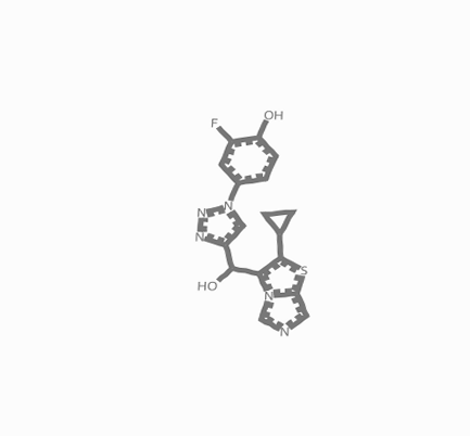 Oc1ccc(-n2cc(C(O)c3c(C4CC4)sc4cncn34)nn2)cc1F